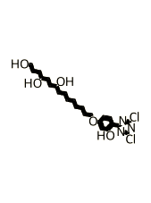 OCCCC(O)CCC(O)CCCCCCCCOc1ccc(-c2nc(Cl)nc(Cl)n2)c(O)c1